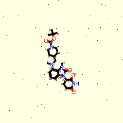 CN(CC1CCN(C(=O)OC(C)(C)C)CC1)c1cccc2c1n(C)c(=O)n2C1CCC(=O)NC1=O